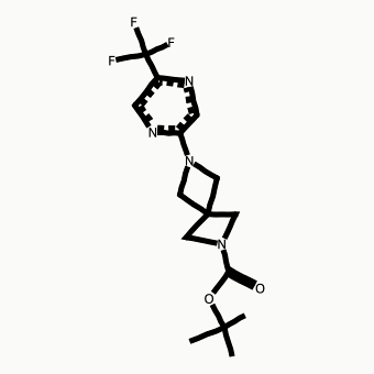 CC(C)(C)OC(=O)N1CC2(C1)CN(c1cnc(C(F)(F)F)cn1)C2